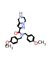 COc1ccc(CN(Cc2ccc(OC)cc2)C(=O)c2cc3n(n2)CCNC3)cc1